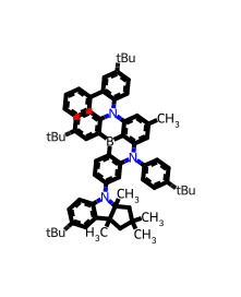 Cc1cc2c3c(c1)N(c1ccc(C(C)(C)C)cc1-c1ccccc1)c1ccc(C(C)(C)C)cc1B3c1ccc(N3c4ccc(C(C)(C)C)cc4C4(C)CC(C)(C)CC34C)cc1N2c1ccc(C(C)(C)C)cc1